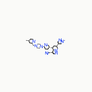 Cc1ccnc(CN2CCN(c3ccc(-c4cc(-c5cnn(C)c5)cn5ncc(C#N)c45)cn3)CC2)c1